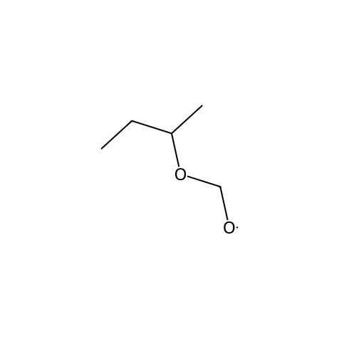 CCC(C)OC[O]